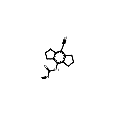 C=NC(=O)Nc1c2c(c(C#N)c3c1CCC3)CCC2